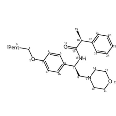 CCCC(C)COc1ccc([C@H](CN2CCOCC2)NC(=O)[C@@H](C)c2ccccc2)cc1